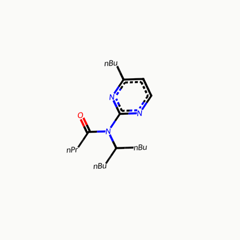 CCCCc1ccnc(N(C(=O)CCC)C(CCCC)CCCC)n1